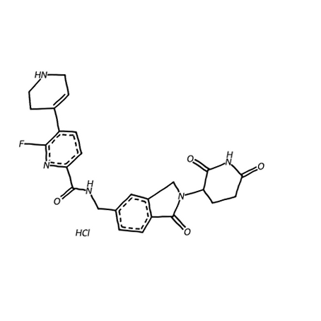 Cl.O=C1CCC(N2Cc3cc(CNC(=O)c4ccc(C5=CCNCC5)c(F)n4)ccc3C2=O)C(=O)N1